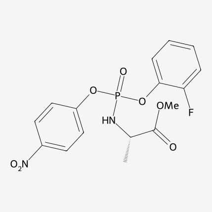 COC(=O)[C@H](C)NP(=O)(Oc1ccc([N+](=O)[O-])cc1)Oc1ccccc1F